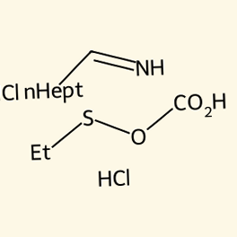 CCCCCCCC=N.CCSOC(=O)O.Cl.Cl